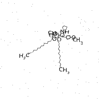 CCCCCCCCCCCCCCO[C@@H]1[C@@H](OCCCCCCCCCCCCCC)[C@@H](OC)O[C@H](CNC2CCCC2)[C@H]1OCc1ccc(OC)cc1